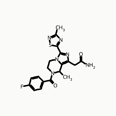 Cc1nsc(-c2nc(CC(N)=O)c3n2CCN(C(=O)c2ccc(F)cc2)C3C)n1